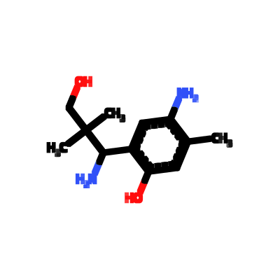 Cc1cc(O)c(C(N)C(C)(C)CO)cc1N